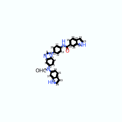 O=CN(c1ccc2c(c1)ncn2-c1ccc(NC(=O)c2ccc3cc[nH]c3c2)cc1)c1ccc2cc[nH]c2c1